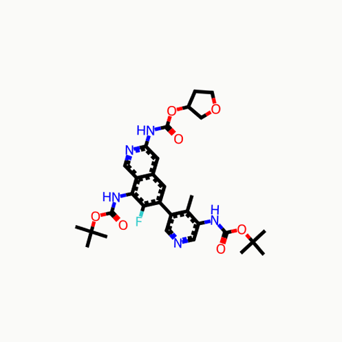 Cc1c(NC(=O)OC(C)(C)C)cncc1-c1cc2cc(NC(=O)OC3CCOC3)ncc2c(NC(=O)OC(C)(C)C)c1F